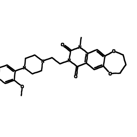 COc1ccccc1N1CCN(CCn2c(=O)c3cc4c(cc3n(C)c2=O)OCCCO4)CC1